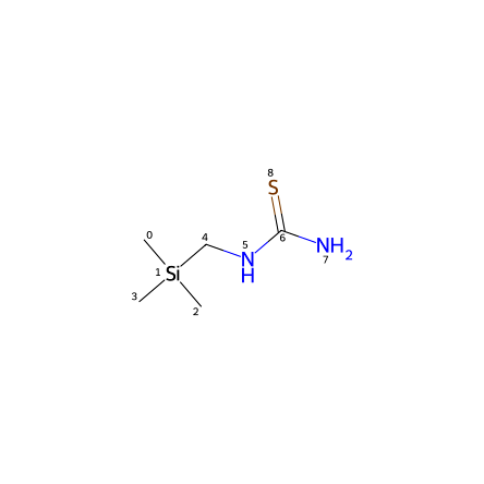 C[Si](C)(C)CNC(N)=S